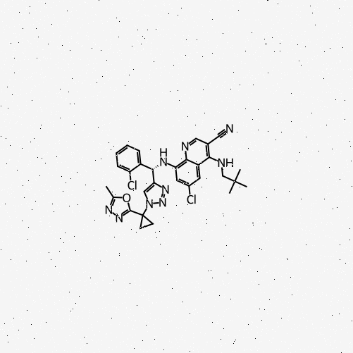 Cc1nnc(C2(n3cc([C@@H](Nc4cc(Cl)cc5c(NCC(C)(C)C)c(C#N)cnc45)c4ccccc4Cl)nn3)CC2)o1